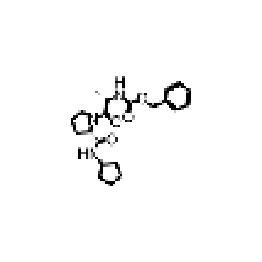 C[C@H](NC(=O)OCc1ccccc1)C(=O)N1CCC[C@H]1C(=O)NC1CCCC1